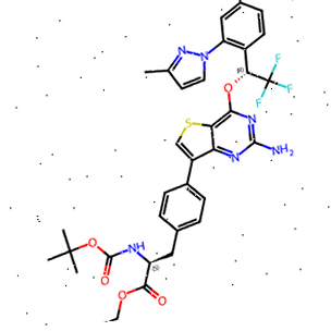 CCOC(=O)[C@H](Cc1ccc(-c2csc3c(O[C@H](c4ccc(Cl)cc4-n4ccc(C)n4)C(F)(F)F)nc(N)nc23)cc1)NC(=O)OC(C)(C)C